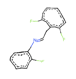 Fc1ccccc1N=Cc1c(F)cccc1F